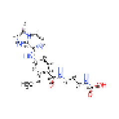 CCc1cc(Nc2nccn3c(I)cnc23)ccc1C(=O)NCCCNC(=O)O